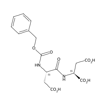 O=C(O)C[C@H](NC(=O)[C@H](CC(=O)O)NC(=O)OCc1ccccc1)C(=O)O